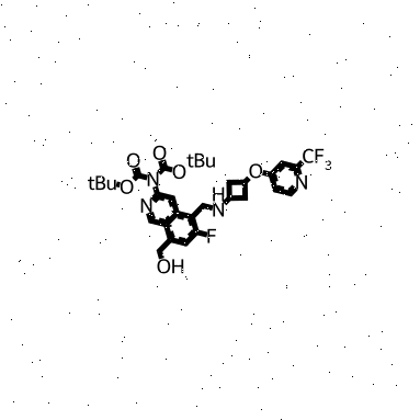 CC(C)(C)OC(=O)N(C(=O)OC(C)(C)C)c1cc2c(CNC3CC(Oc4ccnc(C(F)(F)F)c4)C3)c(F)cc(CO)c2cn1